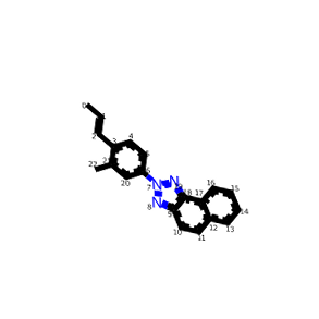 CC=Cc1ccc(-n2nc3ccc4ccccc4c3n2)cc1C